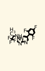 CC(NN1CN=C2N=CC(c3c(F)cc(F)cc3F)=CN21)C(F)(F)F